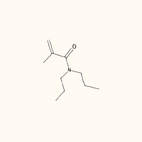 C=C(C)C(=O)N(CCC)CCC